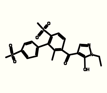 CCn1ncc(C(=O)c2ccc(S(C)(=O)=O)c(-c3ccc(S(C)(=O)=O)cc3)c2C)c1O